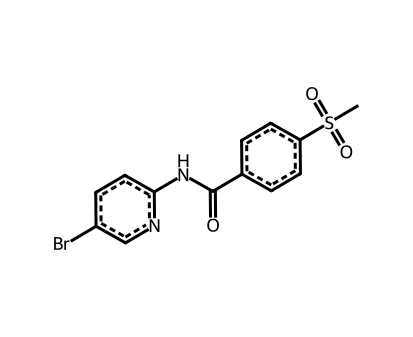 CS(=O)(=O)c1ccc(C(=O)Nc2ccc(Br)cn2)cc1